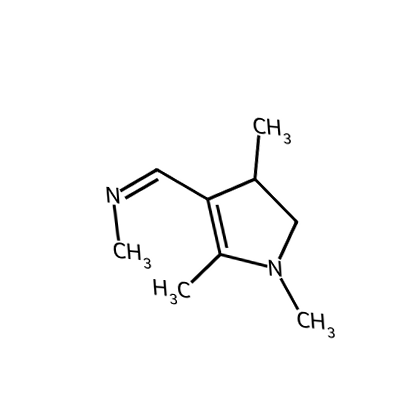 C/N=C\C1=C(C)N(C)CC1C